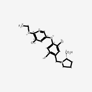 O=C(O)[C@@H]1CCCN1Cc1cc(Cl)c(Oc2cnc(OCC(F)(F)F)c(Cl)c2)cc1F